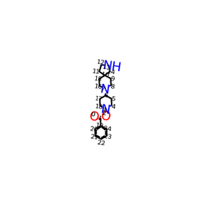 O=C(ON1CCC(N2CCC3(CCNC3)CC2)CC1)c1ccccc1